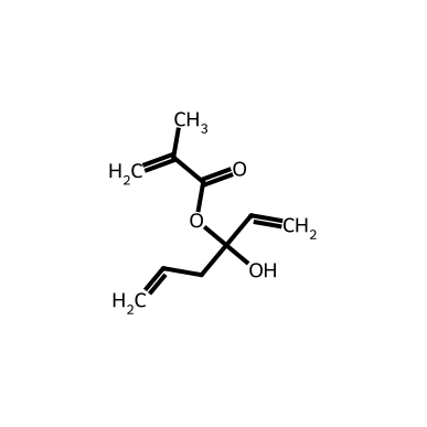 C=CCC(O)(C=C)OC(=O)C(=C)C